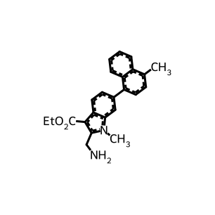 CCOC(=O)c1c(CN)n(C)c2cc(-c3ccc(C)c4ccccc34)ccc12